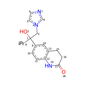 CC(C)C(O)(Cn1ccnc1)c1ccc2c(c1)CCC(=O)N2